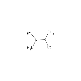 CCC(C)N(N)C(C)C